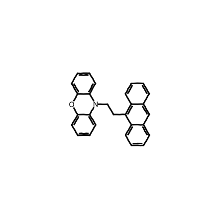 c1ccc2c(c1)Oc1ccccc1N2CCc1c2ccccc2cc2ccccc12